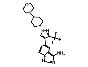 Nc1ncnc2ccc(-c3cn([C@H]4CC[C@H](N5CCOCC5)CC4)nc3C(F)(F)F)cc12